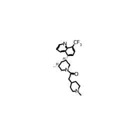 C[C@@H]1C[C@H](c2ccc(C(F)(F)F)c3ncccc23)CN(C(=O)CC2CCN(C)CC2)C1